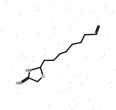 C=CCCCCCCCC1NC(=N)CO1